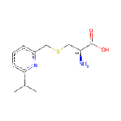 CC(C)c1cccc(CSC[C@H](N)C(=O)O)n1